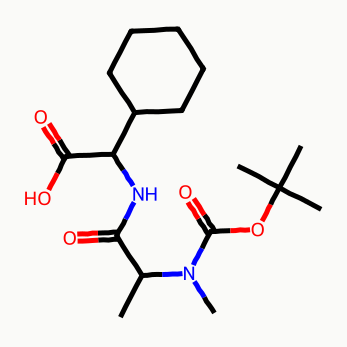 CC(C(=O)NC(C(=O)O)C1CCCCC1)N(C)C(=O)OC(C)(C)C